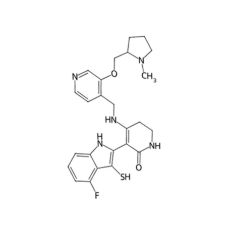 CN1CCCC1COc1cnccc1CNC1=C(c2[nH]c3cccc(F)c3c2S)C(=O)NCC1